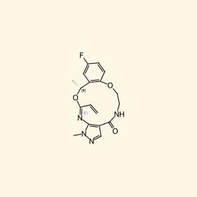 C=C/C1=N\c2c(cnn2C)C(=O)NCCOc2ccc(F)cc2[C@@H](C)O1